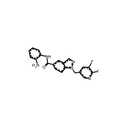 Nc1ccccc1NC(=O)c1ccc2c(cnn2Cc2cnc(F)c(F)c2)c1